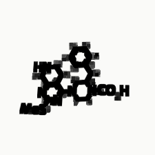 CSc1nc2c(c(N3CCN(C(=O)O)C(Cc4ccccc4)C3)n1)CCNC2